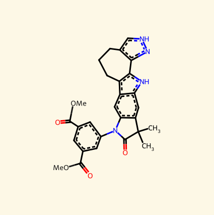 COC(=O)c1cc(C(=O)OC)cc(N2C(=O)C(C)(C)c3cc4[nH]c5c(c4cc32)CCCc2c[nH]nc2-5)c1